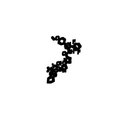 CCOC1CCC(n2cc(NC(=O)c3csc(-c4cnn(COP(=O)(Oc5ccccc5)N(C(C)C)[C@H](C)C(=O)O)c4)n3)c(-c3nc(F)ccc3F)n2)CC1